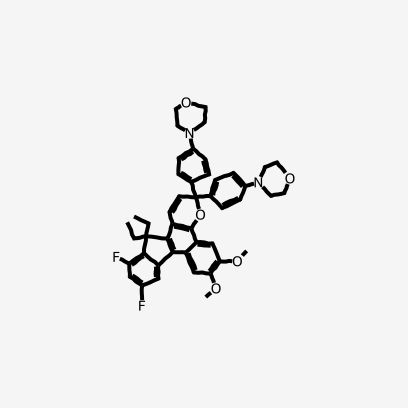 CCC1(CC)c2c(F)cc(F)cc2-c2c1c1c(c3cc(OC)c(OC)cc23)OC(c2ccc(N3CCOCC3)cc2)(c2ccc(N3CCOCC3)cc2)C=C1